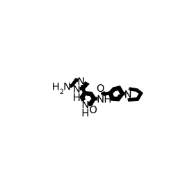 NC1CN2CC2(c2c[nH]c(=O)c(NC(=O)c3ccc(N4CCCCC4)cc3)c2)N1